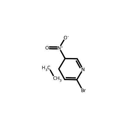 CC.O=[N+]([O-])[C]1C=NC(Br)=CC1